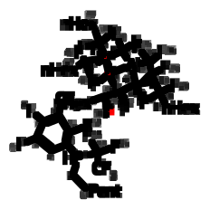 CCCC(C)C[PH+](c1cc(F)c(F)c(C(F)(F)F)c1F)C(F)(F)C(F)(F)F.CCCCCCC(F)(F)C(F)(F)[C](F)(F)[Al-]([C](F)(F)C(F)(F)C(F)(F)CCCCCC)([C](F)(F)C(F)(F)C(F)(F)CCCCCC)[C](F)(F)C(F)(F)C(F)(F)CCCCCC